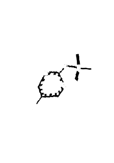 CS(=O)(=O)Nc1ncc(C(=O)O)cn1